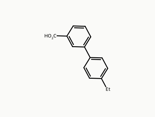 CCc1ccc(-c2cccc(C(=O)O)c2)cc1